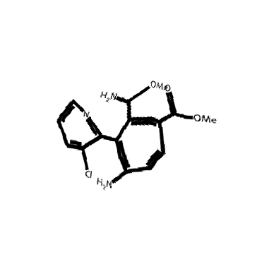 COC(=O)c1ccc(N)c(-c2ncccc2Cl)c1C(N)OC